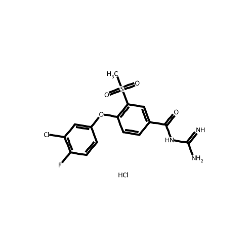 CS(=O)(=O)c1cc(C(=O)NC(=N)N)ccc1Oc1ccc(F)c(Cl)c1.Cl